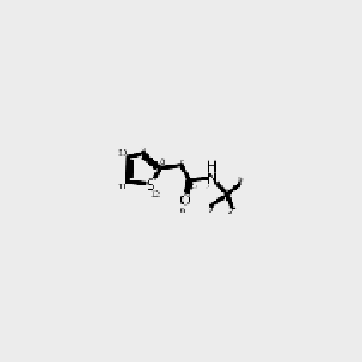 CC(C)(C)NC(=O)Cc1cccs1